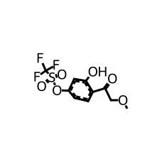 COCC(=O)c1ccc(OS(=O)(=O)C(F)(F)F)cc1O